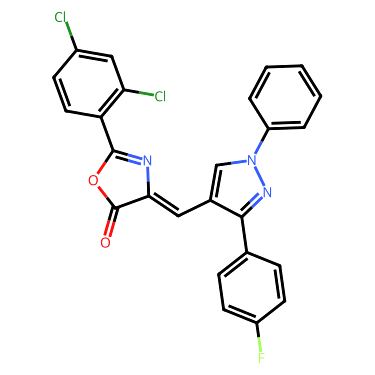 O=C1OC(c2ccc(Cl)cc2Cl)=N/C1=C\c1cn(-c2ccccc2)nc1-c1ccc(F)cc1